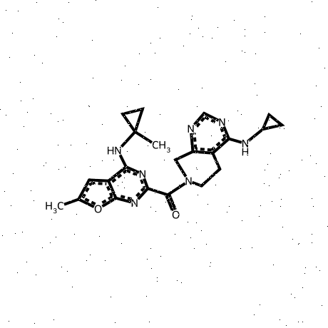 Cc1cc2c(NC3(C)CC3)nc(C(=O)N3CCc4c(ncnc4NC4CC4)C3)nc2o1